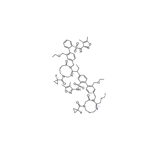 CCCC/C1=N/CCCN(C(=O)C2(F)CC2)CC(=O)N1Cc1ccc(-c2ccc(C(CC)/C3=N/CN(C(=O)C4(F)CC4)CCCC(=O)N3Cc3ccc(-c4ccccc4S(=O)(=O)Nc4noc(C)c4C)c(COCC)c3)cc2S(=O)(=O)Nc2noc(C)c2C)c(COCC)c1